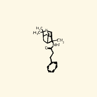 CC1(NC(=O)CCc2ccccc2)C2CC3CC1CN(C2)C3(C)C